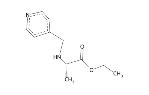 CCOC(=O)[C@H](C)NCc1ccncc1